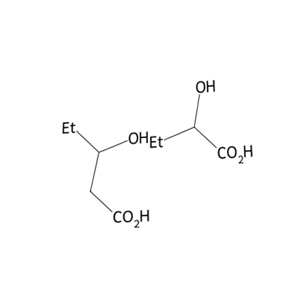 CCC(O)C(=O)O.CCC(O)CC(=O)O